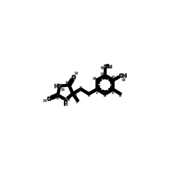 Cc1cc(CCC2(C)NC(=O)NC2=O)cc(C(C)(C)C)c1O